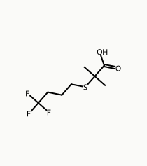 CC(C)(SCCCC(F)(F)F)C(=O)O